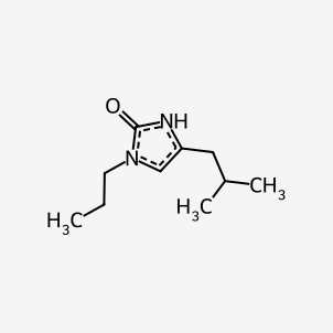 CCCn1cc(CC(C)C)[nH]c1=O